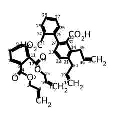 C=CCOC(=O)c1ccccc1C(=O)OCC=C.C=CCc1ccc(-c2ccccc2C(=O)O)c(C(=O)O)c1CC=C